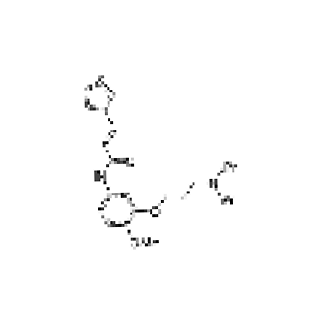 COc1ccc(NC(=O)C=Cc2ccsc2)cc1OCCCN(C(C)C)C(C)C